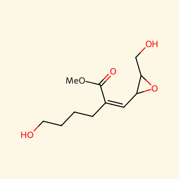 COC(=O)C(=CC1OC1CO)CCCCO